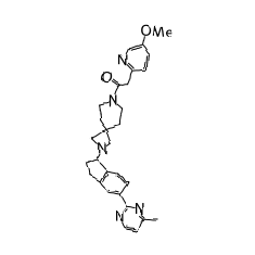 COc1ccc(CC(=O)N2CCC3(CC2)CN(C2CCc4cc(-c5nccc(C)n5)ccc42)C3)nc1